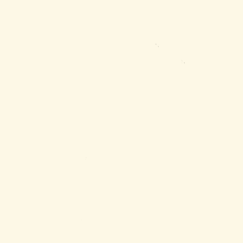 COc1cc(OC)c2c(=O)c(OCCCCCOc3nc4ccccc4nc3C)c(-c3cc(OC)c(OC)c(OC)c3)oc2c1